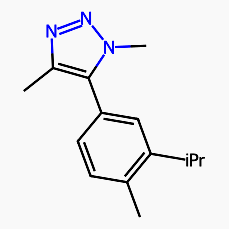 Cc1ccc(-c2c(C)nnn2C)cc1C(C)C